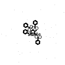 COC(Sc1ccccc1)C(OC(=O)c1ccccc1)C(OC(=O)c1ccccc1)C(C)[C@H](O)COC(=O)c1ccccc1